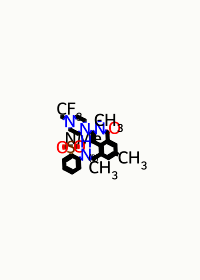 CNS(=O)(=O)c1ccccc1N[C@H](C)c1cc(C)cc2c(=O)n(C)c(N3CCN(CC(F)(F)F)CC3)cc12